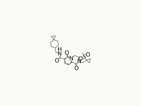 CS(=O)(=O)C1(CN2CCn3c(ccc(C(=O)NCC4CCC5(CC4)CC5)c3=O)C2=O)CC1